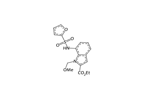 CCOC(=O)c1cc2cccc(NS(=O)(=O)c3ccco3)c2n1COC